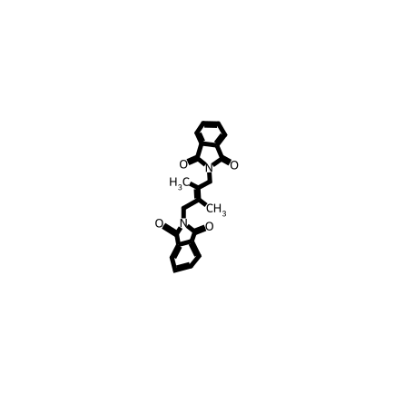 C/C(CN1C(=O)c2ccccc2C1=O)=C(/C)CN1C(=O)c2ccccc2C1=O